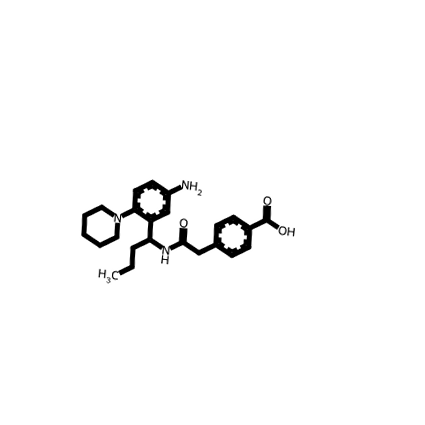 CCCC(NC(=O)Cc1ccc(C(=O)O)cc1)c1cc(N)ccc1N1CCCCC1